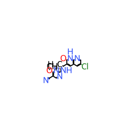 COc1nc(N[C@@H](C)c2cc3cc(Cl)cnc3[nH]c2=O)ncc1C#N